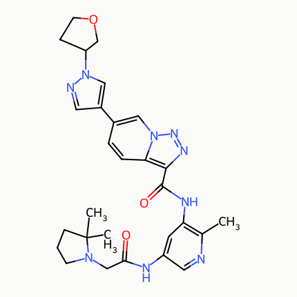 Cc1ncc(NC(=O)CN2CCCC2(C)C)cc1NC(=O)c1nnn2cc(-c3cnn(C4CCOC4)c3)ccc12